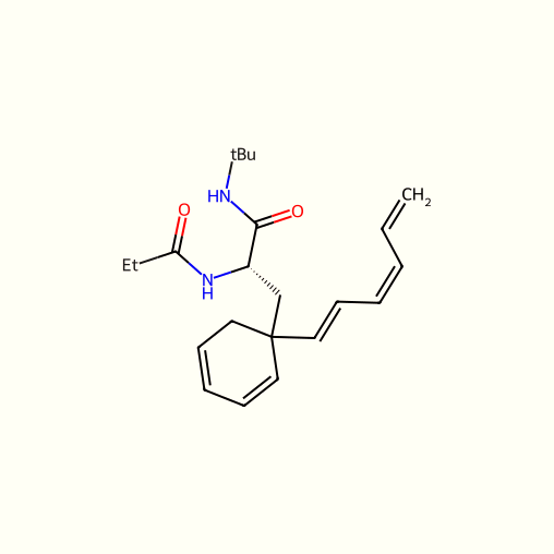 C=C/C=C\C=C\C1(C[C@H](NC(=O)CC)C(=O)NC(C)(C)C)C=CC=CC1